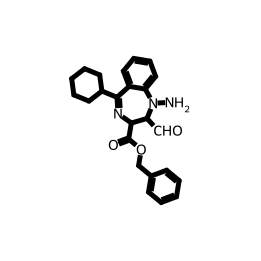 NN1c2ccccc2C(C2CCCCC2)=NC(C(=O)OCc2ccccc2)C1C=O